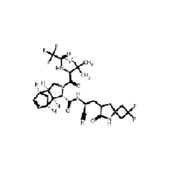 CC(C)(C)[C@H](NC(=O)C(F)(F)F)C(=O)N1C[C@H]2[C@@H]([C@H]1C(=O)N[C@H](C#N)CC1CC3(CC(F)(F)C3)NC1=O)[C@H]1C=C[C@@H]2C1